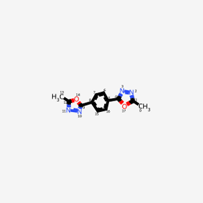 Cc1nnc(-c2ccc(-c3nnc(C)o3)cc2)o1